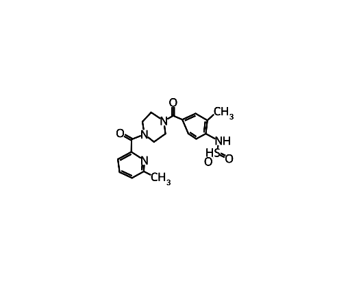 Cc1cccc(C(=O)N2CCN(C(=O)c3ccc(N[SH](=O)=O)c(C)c3)CC2)n1